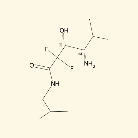 CC(C)CNC(=O)C(F)(F)[C@H](O)[C@@H](N)C(C)C